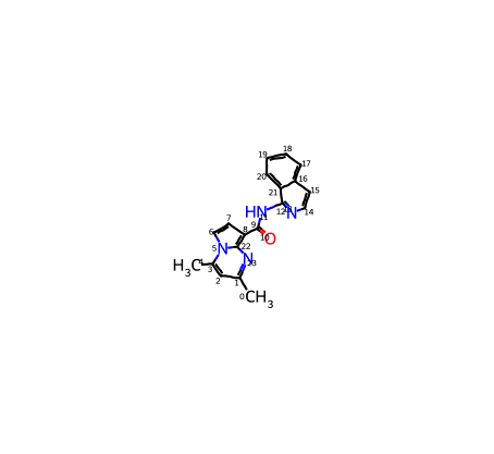 Cc1cc(C)n2ccc(C(=O)Nc3nccc4ccccc34)c2n1